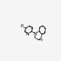 Fc1ccc(N2CC=Nc3ccccc32)nc1